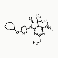 CC1(C)C(=O)N(c2ccc(OC3CCCCC3)nc2)c2nc(CO)nc(N)c21